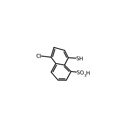 O=S(=O)(O)c1cccc2c(Cl)ccc(S)c12